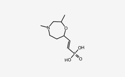 CC1CN(C)CCC(/C=C/P(=O)(O)O)O1